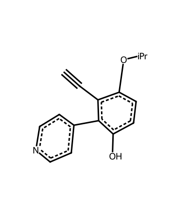 C#Cc1c(OC(C)C)ccc(O)c1-c1ccncc1